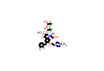 CC(C)[C@@H](CO)n1cc(C(=O)O)c(=O)c2cc(Cc3cccc(Cl)c3F)c(OCCN3CCN(C)CC3)cc21.O=C(O)C(F)(F)F.O=C(O)C(F)(F)F